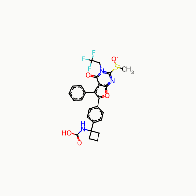 C[S+]([O-])c1nc2oc(-c3ccc(C4(NC(=O)O)CCC4)cc3)c(-c3ccccc3)c2c(=O)n1CC(F)(F)F